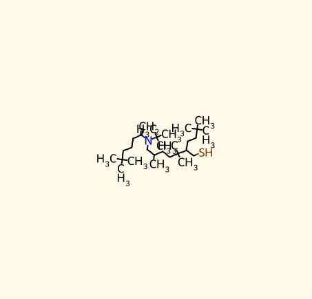 C=C(CCCC(C)(C)C)N(CC(C)CCC(C)(C)C(CS)CCC(C)(C)C)C(C)(C)C